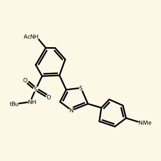 CNc1ccc(-c2ncc(-c3ccc(NC(C)=O)cc3S(=O)(=O)NC(C)(C)C)s2)cc1